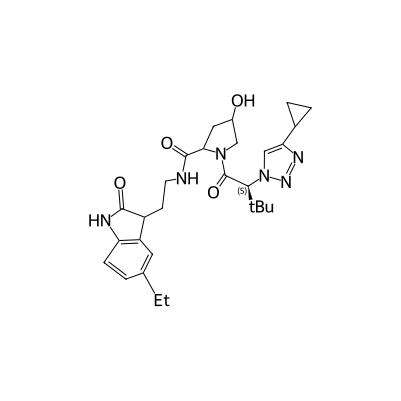 CCc1ccc2c(c1)C(CCNC(=O)C1CC(O)CN1C(=O)[C@@H](n1cc(C3CC3)nn1)C(C)(C)C)C(=O)N2